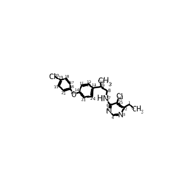 CCc1ncnc(NCC(C)c2ccc(Oc3ccc(Cl)cc3)cc2)c1Cl